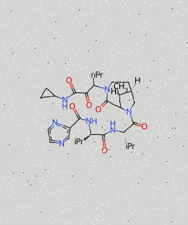 CCCC(C(=O)C(=O)NC1CC1)N1CC[C@H]2CN(C(=O)[C@@H](NC(=O)[C@H](NC(=O)c3cnccn3)C(C)C)C(C)C)C(C1=O)[C@H]2C